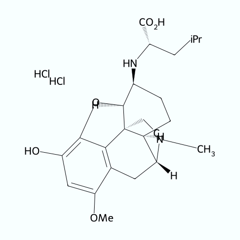 COc1cc(O)c2c3c1C[C@@H]1[C@@H]4CC[C@H](N[C@@H](CC(C)C)C(=O)O)[C@H](O2)[C@]34CCN1C.Cl.Cl